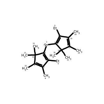 CCC1=[C]([Sn][C]2=C(CC)C(C)=C(C)C2(C)C)C(C)(C)C(C)=C1C